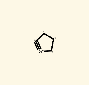 C1#[N+]CCC1